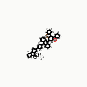 CC1(C)c2ccccc2-c2ccc(-c3ccc(-c4c5ccccc5c(-c5cc6oc7ccccc7c6c6c5sc5ccccc56)c5ccccc45)cc3)cc21